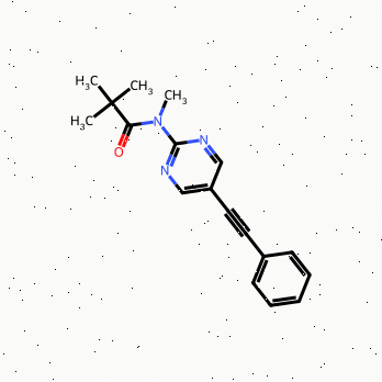 CN(C(=O)C(C)(C)C)c1ncc(C#Cc2ccccc2)cn1